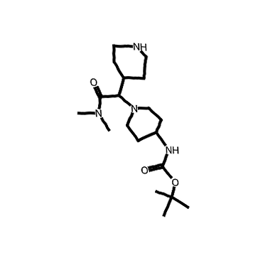 CN(C)C(=O)C(C1CCNCC1)N1CCC(NC(=O)OC(C)(C)C)CC1